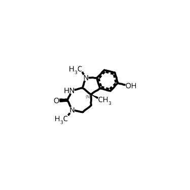 CN1CC[C@@]2(C)c3cc(O)ccc3N(C)C2NC1=O